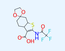 O=C(O)C1=C(NC(=O)C(F)(F)F)SC2CC3(CCC12)OCCO3